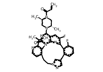 C=CC(=O)N1C[C@H](C)N(c2nc(=O)n3c4nc(c(F)cc24)-c2c(F)cccc2-c2cnn(c2)CCc2ccnc(C(C)C)c2-3)C[C@H]1C